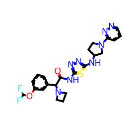 O=C(Nc1nnc(NC2CCN(c3cccnn3)C2)s1)C(c1cccc(OC(F)F)c1)N1CCC1